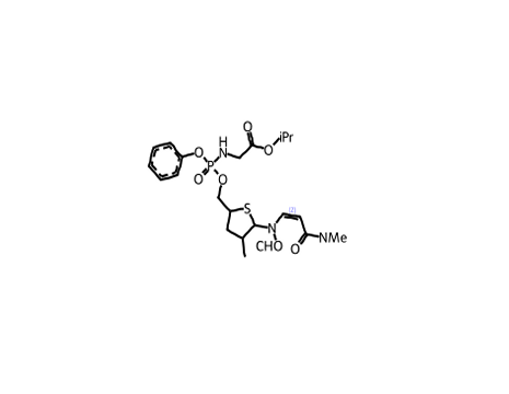 CNC(=O)/C=C\N(C=O)C1SC(COP(=O)(NCC(=O)OC(C)C)Oc2ccccc2)CC1C